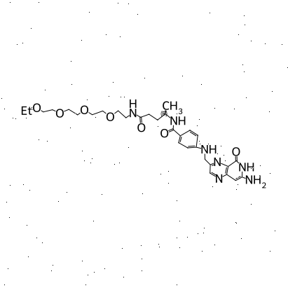 CCOCCOCCOCCOCCNC(=O)CC[C@@H](C)NC(=O)c1ccc(NCc2cnc3cc(N)[nH]c(=O)c3n2)cc1